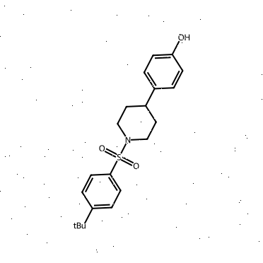 CC(C)(C)c1ccc(S(=O)(=O)N2CCC(c3ccc(O)cc3)CC2)cc1